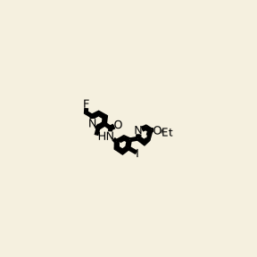 CCOc1ccc(-c2cc(NC(=O)c3ccc(CF)nc3C)ccc2I)nc1